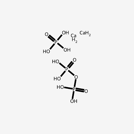 O=P(O)(O)O.O=P(O)(O)OP(=O)(O)O.[CaH2].[CaH2]